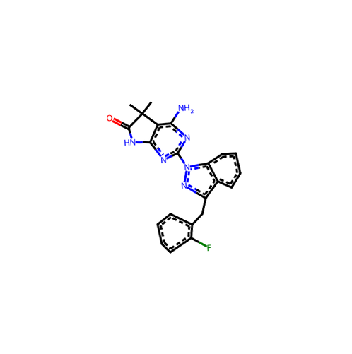 CC1(C)C(=O)Nc2nc(-n3nc(Cc4ccccc4F)c4ccccc43)nc(N)c21